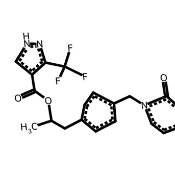 CC(Cc1ccc(Cn2ccccc2=O)cc1)OC(=O)c1c[nH]nc1C(F)(F)F